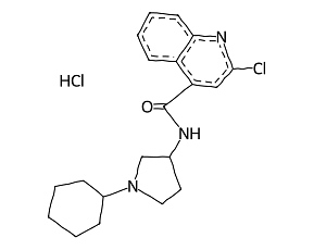 Cl.O=C(NC1CCN(C2CCCCC2)C1)c1cc(Cl)nc2ccccc12